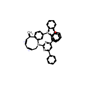 C=C1/C=C\C=C/CN(c2nc(-c3ccccc3)cc(-c3ccccc3)n2)c2cc(-n3c4ccccc4c4ccccc43)ccc21